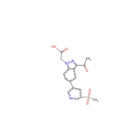 CC(=O)c1nn(CC(=O)O)c2ccc(-c3cncc(S(C)(=O)=O)c3)cc12